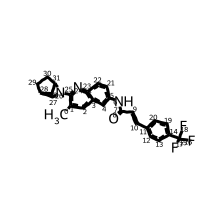 Cc1cc2cc(NC(=O)/C=C/c3ccc(C(F)(F)F)cc3)ccc2nc1N1CC2CCC1C2